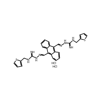 Cl.Cl.N=C(NCc1cccs1)NN=Cc1c2ccccc2c(C=NNC(=N)NCc2cccs2)c2ccccc12